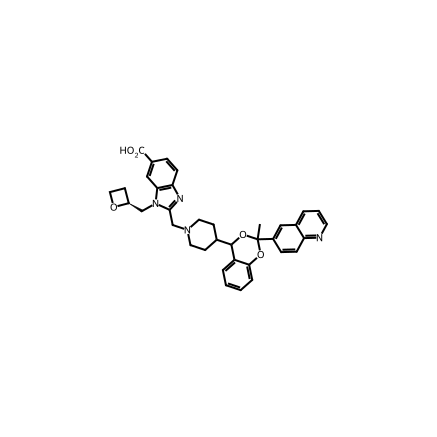 CC1(c2ccc3ncccc3c2)Oc2ccccc2C(C2CCN(Cc3nc4ccc(C(=O)O)cc4n3C[C@@H]3CCO3)CC2)O1